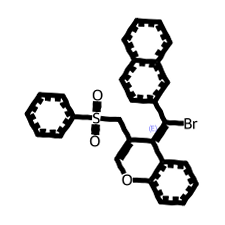 O=S(=O)(CC1=COc2ccccc2/C1=C(\Br)c1ccc2ccccc2c1)c1ccccc1